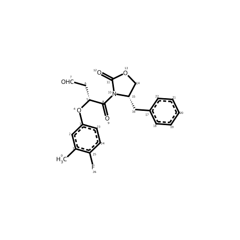 Cc1cc(O[C@H](CC=O)C(=O)N2C(=O)OC[C@@H]2Cc2ccccc2)ccc1F